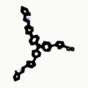 O=Cc1ccc(-c2ccc(N(c3ccc(-c4ccc(/C=C/c5cccs5)s4)cc3)c3ccc(-c4ccc(/C=C/c5cccs5)s4)cc3)cc2)s1